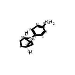 Nc1ccc(N2C[C@H]3CC[C@@H]2C3)cc1